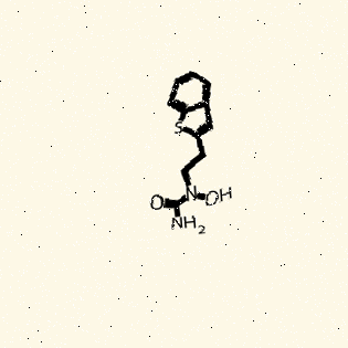 NC(=O)N(O)CCc1cc2ccccc2s1